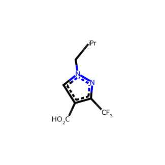 CC(C)Cn1cc(C(=O)O)c(C(F)(F)F)n1